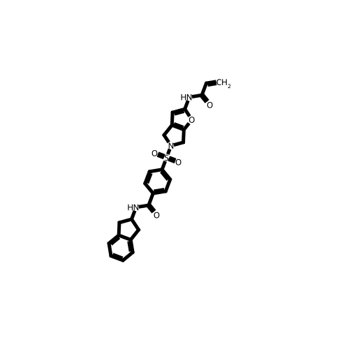 C=CC(=O)Nc1cc2c(o1)CN(S(=O)(=O)c1ccc(C(=O)NC3Cc4ccccc4C3)cc1)C2